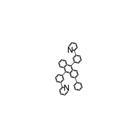 c1ccc(-c2ccc3c(-c4cccc(-c5ccccn5)c4)c4ccccc4c(-c4cccc(-c5ccccn5)c4)c3c2)cc1